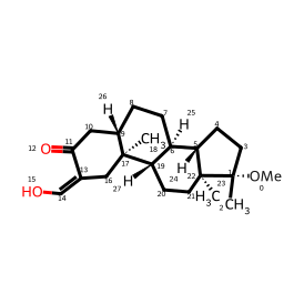 CO[C@@]1(C)CC[C@H]2[C@@H]3CC[C@H]4CC(=O)C(=CO)C[C@]4(C)[C@H]3CC[C@@]21C